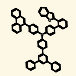 c1ccc(-c2cc(-c3ccccc3)cc(-c3ccc(N(c4ccc(-c5ccccc5-c5cc6ccccc6o5)cc4)c4ccc(-c5cc6ccccc6c6ccccc56)cc4)cc3)c2)cc1